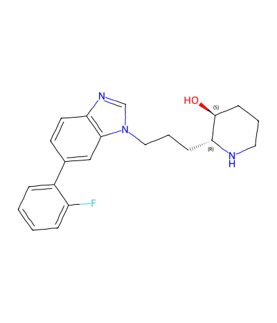 O[C@H]1CCCN[C@@H]1CCCn1cnc2ccc(-c3ccccc3F)cc21